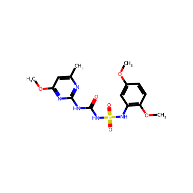 COc1ccc(OC)c(NS(=O)(=O)NC(=O)Nc2nc(C)cc(OC)n2)c1